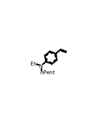 C=Cc1ccc(N(CC)CCCCC)cc1